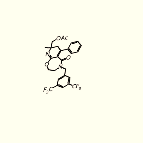 CC(=O)OCC1(C)CC(c2ccccc2)=C2C(=O)N(Cc3cc(C(F)(F)F)cc(C(F)(F)F)c3)CCOC2=N1